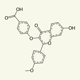 COc1ccc(-c2oc3cc(O)ccc3c(=O)c2Oc2ccc(C(=O)O)cc2)cc1